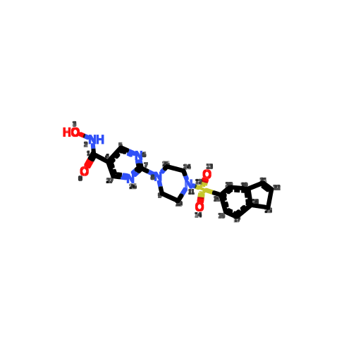 O=C(NO)c1cnc(N2CCN(S(=O)(=O)c3ccc4c(c3)C=CC4)CC2)nc1